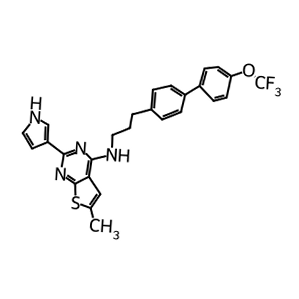 Cc1cc2c(NCCCc3ccc(-c4ccc(OC(F)(F)F)cc4)cc3)nc(-c3cc[nH]c3)nc2s1